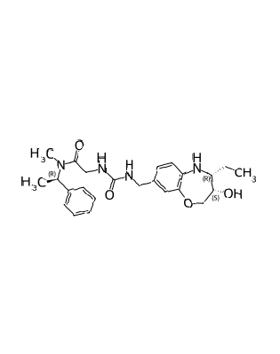 CC[C@H]1Nc2ccc(CNC(=O)NCC(=O)N(C)[C@H](C)c3ccccc3)cc2OC[C@H]1O